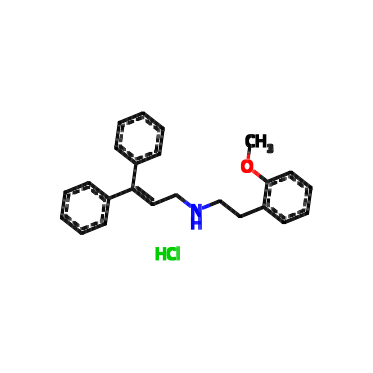 COc1ccccc1CCNCC=C(c1ccccc1)c1ccccc1.Cl